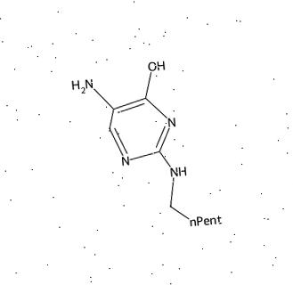 CCCCCCNc1ncc(N)c(O)n1